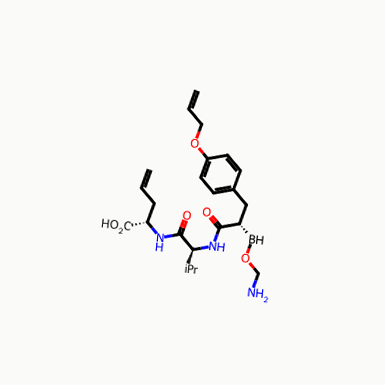 C=CCOc1ccc(C[C@H](BOCN)C(=O)N[C@H](C(=O)N[C@@H](CC=C)C(=O)O)C(C)C)cc1